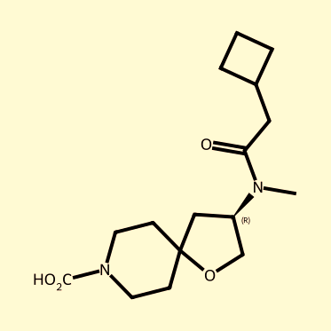 CN(C(=O)CC1CCC1)[C@H]1COC2(CCN(C(=O)O)CC2)C1